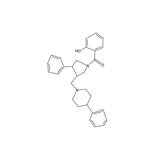 O=C(c1ccccc1O)N1CC(CN2CCC(c3ccccc3)CC2)C(c2ccccc2)C1